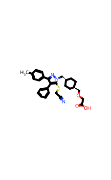 Cc1ccc(-c2nn(C[C@H]3CC[C@H](COCC(=O)O)CC3)c(SCC#N)c2-c2ccccc2)cc1